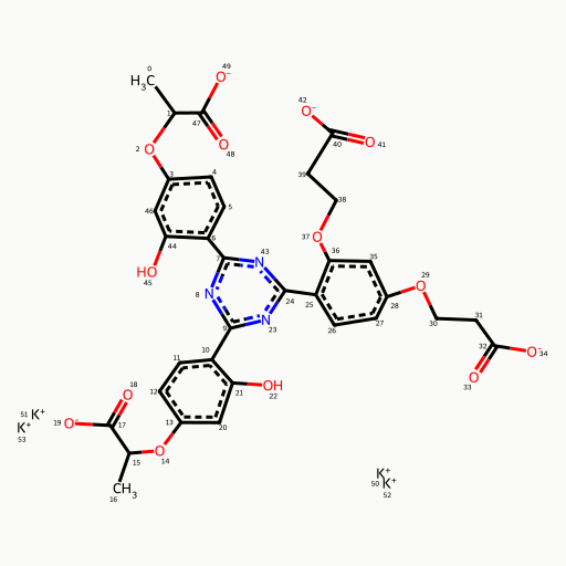 CC(Oc1ccc(-c2nc(-c3ccc(OC(C)C(=O)[O-])cc3O)nc(-c3ccc(OCCC(=O)[O-])cc3OCCC(=O)[O-])n2)c(O)c1)C(=O)[O-].[K+].[K+].[K+].[K+]